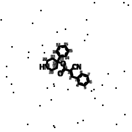 N#C/C(=C\c1ccccc1)C(=O)OC1(c2ccccc2)CCNCC1